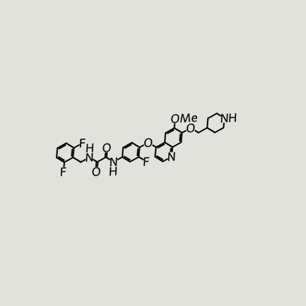 COc1cc2c(Oc3ccc(NC(=O)C(=O)NCc4c(F)cccc4F)cc3F)ccnc2cc1OCC1CCNCC1